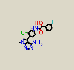 Cn1cc(-c2ccc(NC(=O)[C@@H](O)c3cccc(F)c3)cc2Cl)c2c(N)ncnc21